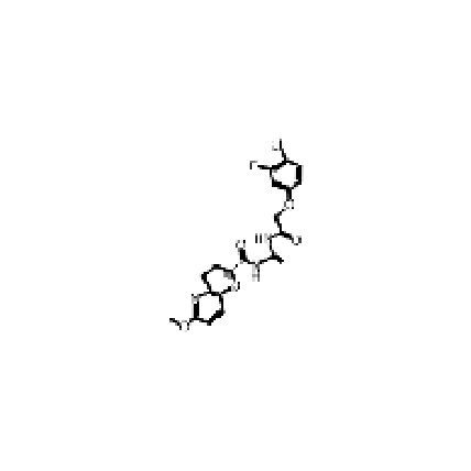 C=C(NC(=O)COc1ccc(Cl)c(F)c1)NC(=O)[C@H]1CCc2nc(OC)ccc2O1